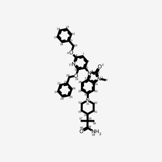 Cn1c(=O)n(-c2ccc(OCc3ccccc3)nc2OCc2ccccc2)c2ccc(N3CCC(C(C)(C)C(N)=O)CC3)cc21